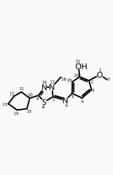 COc1ccc(N=c2sc(C3CCCCC3)nn2C)cc1O